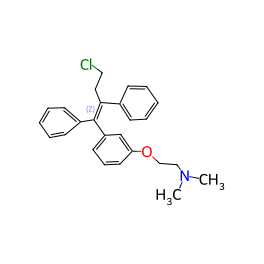 CN(C)CCOc1cccc(/C(=C(/CCCl)c2ccccc2)c2ccccc2)c1